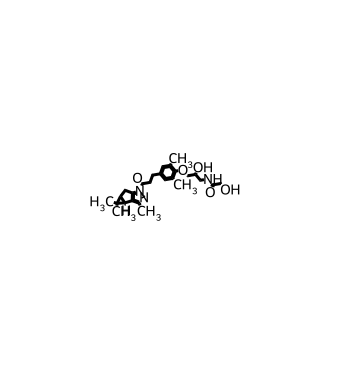 Cc1cc(CCC(=O)n2nc(C)c3c2CC2[C@@H]3C2(C)C)cc(C)c1OCC(O)CNC(=O)CO